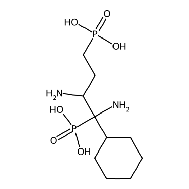 NC(CCP(=O)(O)O)C(N)(C1CCCCC1)P(=O)(O)O